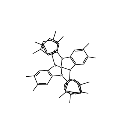 Cc1cc(C)cc(N2c3cc(C)c(C)cc3N(c3cc(C)cc(C)c3)[Si]23N(c2cc(C)cc(C)c2)c2cc(C)c(C)cc2N3c2cc(C)cc(C)c2)c1